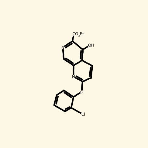 CCOC(=O)c1ncc2nc(Oc3ccccc3Cl)ccc2c1O